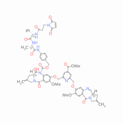 C=C1C[C@H]2C=Nc3cc(OCc4cc(C(=O)OC)cc(COc5cc6c(cc5OC)C(=O)N5CC(=C)C[C@H]5[C@H](O)N6C(=O)OCc5ccc(NC(=O)[C@H](C)NC(=O)[C@@H](NC(=O)CCN6C(=O)C=CC6=O)C(C)C)cc5)n4)c(OC)cc3C(=O)N2C1